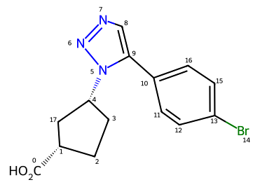 O=C(O)[C@H]1CC[C@@H](n2nncc2-c2ccc(Br)cc2)C1